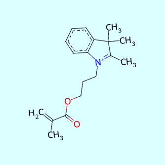 C=C(C)C(=O)OCCC[N+]1=C(C)C(C)(C)c2ccccc21